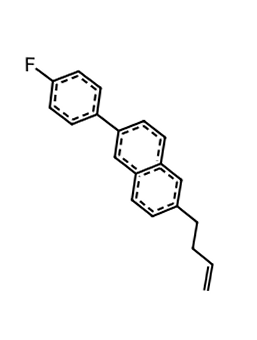 C=CCCc1ccc2cc(-c3ccc(F)cc3)ccc2c1